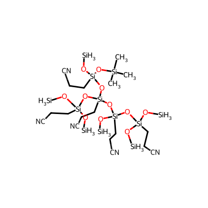 C[Si](C)(C)O[Si](CCC#N)(O[SiH3])O[Si](CCC#N)(O[Si](CCC#N)(O[SiH3])O[SiH3])O[Si](CCC#N)(O[SiH3])O[Si](CCC#N)(O[SiH3])O[SiH3]